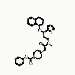 CN(CCC(Oc1cccc2ccccc12)c1cccs1)C(=O)CN1CCN(C(=O)Oc2ccccc2)CC1